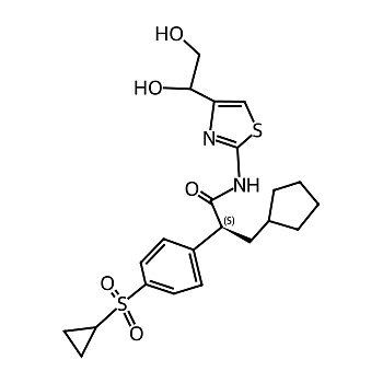 O=C(Nc1nc(C(O)CO)cs1)[C@@H](CC1CCCC1)c1ccc(S(=O)(=O)C2CC2)cc1